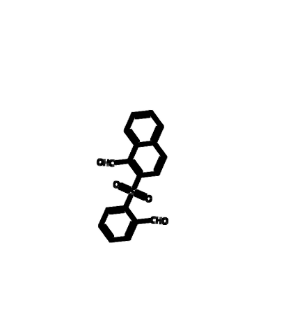 O=Cc1ccccc1S(=O)(=O)c1ccc2ccccc2c1C=O